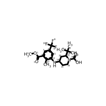 COC(=O)c1cc(C(F)(F)F)cc(NC2CCN(C(=O)O)C(C(C)(C)C)C2)c1C